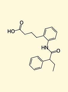 CCC(C(=O)Nc1ccccc1CCCC(=O)O)c1ccccc1